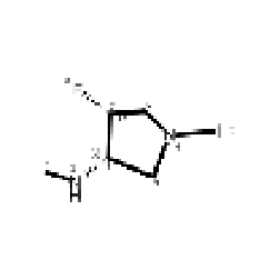 CN[C@H]1CN(I)C[C@H]1F